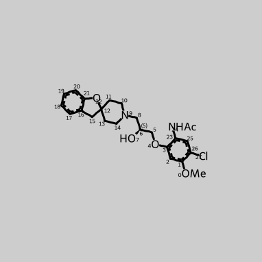 COc1cc(OC[C@@H](O)CN2CCC3(CC2)Cc2ccccc2O3)c(NC(C)=O)cc1Cl